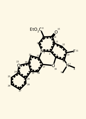 CCOC(=O)c1cn2c3c(c(N(C)C)c(F)cc3c1=O)Oc1cc3c(cc1-2)oc1ccccc13